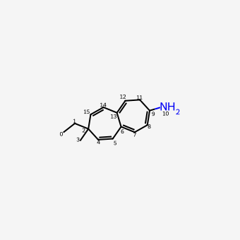 CCC1(C)C=CC2=CC=C(N)CC=C2C=C1